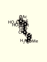 COc1cc2nccc(Oc3ccc(NC(=O)Nc4ccc(F)c(O[C@@H]5O[C@@H](COC(C)=O)[C@@H](CC(=O)O)[C@H](CC(=O)O)[C@H]5CC(=O)O)c4)c(Cl)c3)c2cc1C(N)=O